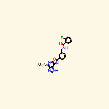 CNc1nc2oc(-c3cccc(CNC(=O)c4ccccc4F)c3)nc2c2c1ncn2C